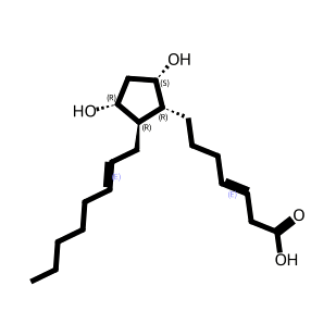 CCCCC/C=C/C[C@@H]1[C@@H](CCC/C=C/CC(=O)O)[C@@H](O)C[C@H]1O